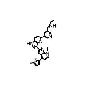 CCNCc1cncc(-c2ccc3[nH]nc(-c4cc5c(-c6ccc(C)s6)ccnc5[nH]4)c3n2)c1